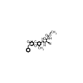 CCOC(=O)NC(=O)C(C#N)NNc1cc(C)c(Oc2ccc(=O)n(Cc3ccccc3)c2)c(C)c1